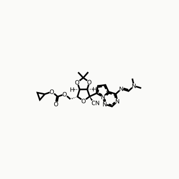 CN(C)C=Nc1ncnn2c([C@]3(C#N)O[C@H](COC(=O)OC4CC4)[C@H]4OC(C)(C)O[C@H]43)ccc12